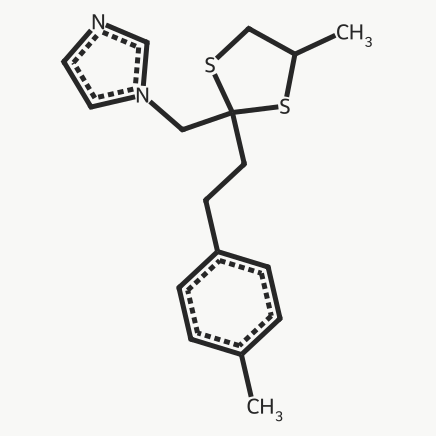 Cc1ccc(CCC2(Cn3ccnc3)SCC(C)S2)cc1